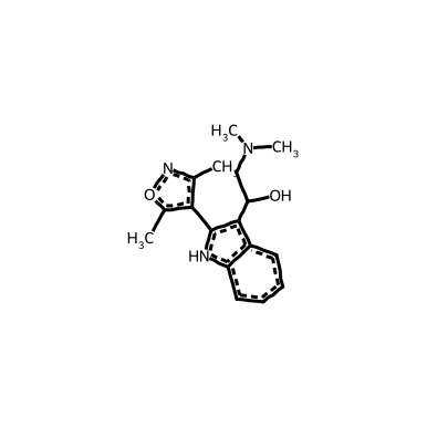 Cc1noc(C)c1-c1[nH]c2ccccc2c1C(O)CN(C)C